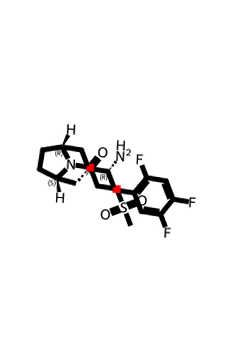 CS(=O)(=O)CCC(=O)N1[C@@H]2CC[C@H]1C[C@@H]([C@H](N)Cc1cc(F)c(F)cc1F)C2